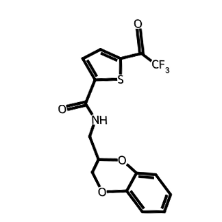 O=C(NCC1COc2ccccc2O1)c1ccc(C(=O)C(F)(F)F)s1